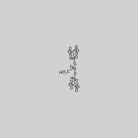 O=C(O)CCC(=O)N(CCOCCNC(=O)CCC(CN1C(=O)C=CC1=O)N1C(=O)C=CC1=O)CCOCCNC(=O)CCC(CN1C(=O)C=CC1=O)N1C(=O)C=CC1=O